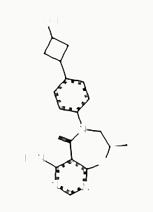 C[C@@H]1CN(c2ccc(C3CC(O)C3)cc2)C(=O)c2c(N)ncnc2O1